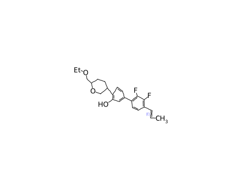 C/C=C/c1ccc(-c2ccc(C3CCC(COCC)OC3)c(O)c2)c(F)c1F